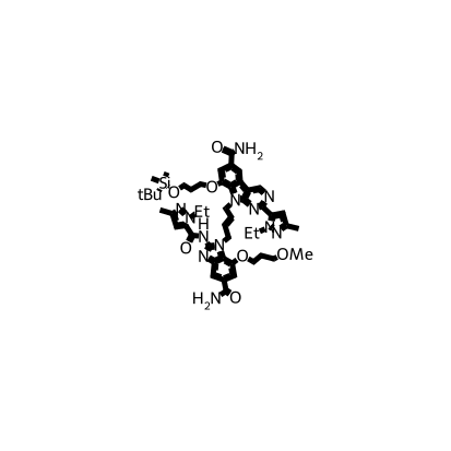 CCn1nc(C)cc1C(=O)Nc1nc2cc(C(N)=O)cc(OCCCOC)c2n1CC=CCn1c2nc(-c3cc(C)nn3CC)ncc2c2cc(C(N)=O)cc(OCCCO[Si](C)(C)C(C)(C)C)c21